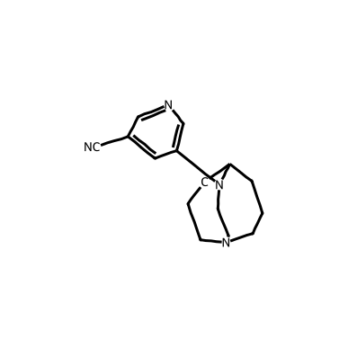 N#Cc1cncc(N2CCN3CCCC2CCC3)c1